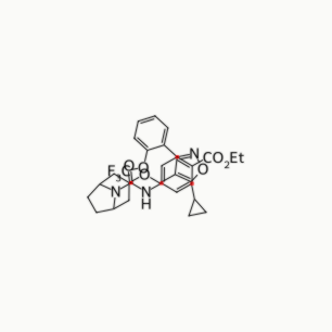 CCOC(=O)c1ccc(NC(=O)N2C3CCC2CC(OCc2c(-c4ccccc4OC(F)(F)F)noc2C2CC2)C3)cc1